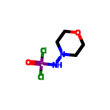 O=P(Cl)(Cl)NN1CCOCC1